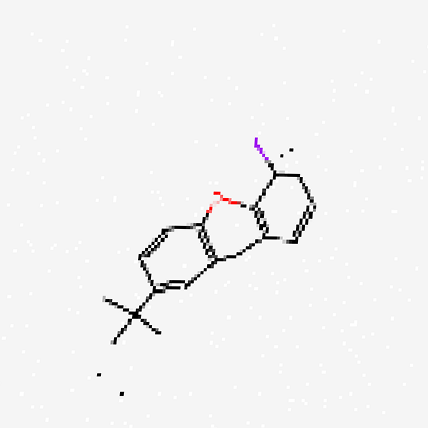 CC(C)(C)c1ccc2c(c1)CC1=C(O2)C(I)CC=C1